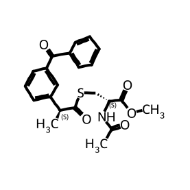 COC(=O)[C@@H](CSC(=O)[C@@H](C)c1cccc(C(=O)c2ccccc2)c1)NC(C)=O